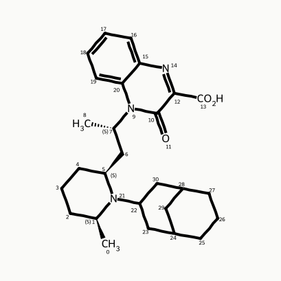 C[C@H]1CCC[C@@H](C[C@H](C)n2c(=O)c(C(=O)O)nc3ccccc32)N1C1CC2CCCC(C2)C1